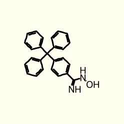 N=C(NO)c1ccc(C(c2ccccc2)(c2ccccc2)c2ccccc2)cc1